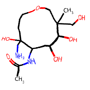 CC(=O)NC1C(O)C(O)C(C)(CO)COCCC1(N)O